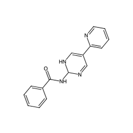 O=C(NC1N=CC(c2ccccn2)=CN1)c1ccccc1